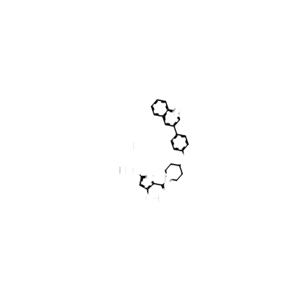 Cc1cc(C)c(C(=O)N2CCC(Oc3ccc(-c4cnc5ccccc5c4)cc3)CC2)o1.Cl